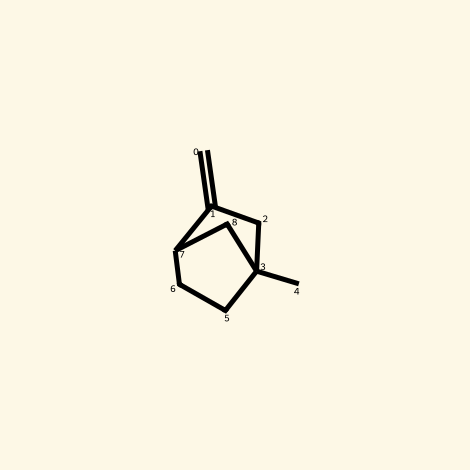 C=C1CC2(C)CCC1C2